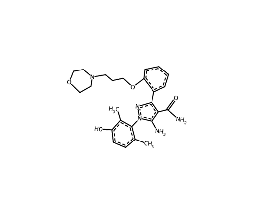 Cc1ccc(O)c(C)c1-n1nc(-c2ccccc2OCCCN2CCOCC2)c(C(N)=O)c1N